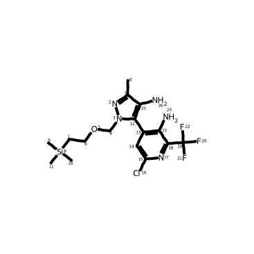 Cc1nn(COCC[Si](C)(C)C)c(-c2cc(Cl)nc(C(F)(F)F)c2N)c1N